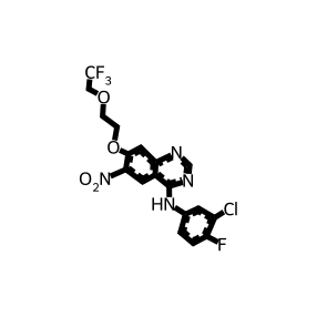 O=[N+]([O-])c1cc2c(Nc3ccc(F)c(Cl)c3)ncnc2cc1OCCOCC(F)(F)F